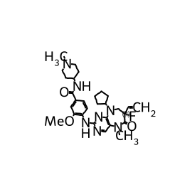 C=C[C@@]1(F)CN(C2CCCC2)c2nc(Nc3ccc(C(=O)NC4CCN(C)CC4)cc3OC)ncc2N(C)C1=O